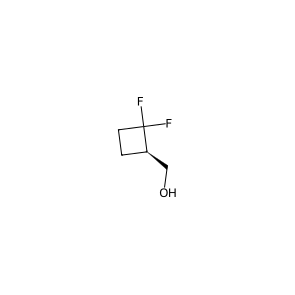 OC[C@H]1CCC1(F)F